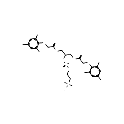 C[N+](C)(C)CCOP(=O)(O)OC(COC(=O)COc1c(I)cc(I)cc1I)COC(=O)COc1c(I)cc(I)cc1I